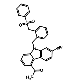 CCCc1c[c]c2c3c(C(N)=O)cccc3n(Cc3ccccc3CS(=O)(=O)c3ccccc3)c2c1